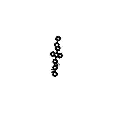 c1ccc(-c2ccc3cc(-c4c5ccccc5c(-c5ccc6c(c5)oc5cc7c(cc56)oc5ccccc57)c5ccccc45)ccc3c2)cc1